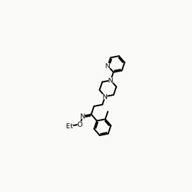 CCO/N=C(/CCN1CCN(c2ccccn2)CC1)c1ccccc1C